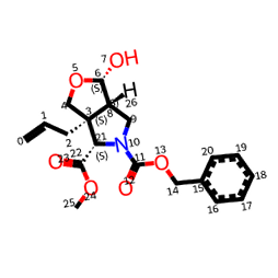 C=CC[C@]12CO[C@H](O)[C@@H]1CN(C(=O)OCc1ccccc1)[C@@H]2C(=O)OC